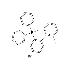 C[P+](c1ccccc1)(c1ccccc1)c1ccccc1-c1ccccc1F.[Br-]